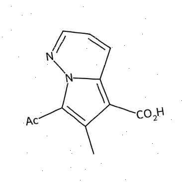 CC(=O)c1c(C)c(C(=O)O)c2cccnn12